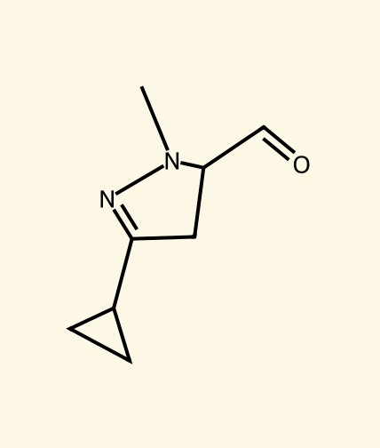 CN1N=C(C2CC2)CC1C=O